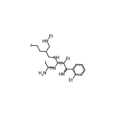 CCNCC(CCI)CNC(/N=C(/N)I)=C(\CC)C(=N)c1ccccc1CC